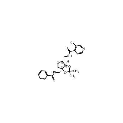 CC1(C)O[C@@H]2[C@@H](CNC(=O)c3ccncc3Cl)OC[C@]2(CNC(=O)c2ccccc2)O1